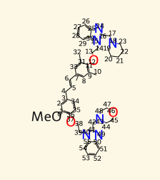 COc1cc(C/C=C/c2cc(C)c(OCCn3c(CN4CCCCC4)nc4ccccc43)c(C)c2)ccc1OCCn1c(CN2CCOCC2)nc2ccccc21